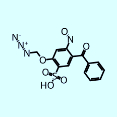 [N-]=[N+]=NCOc1cc(N=O)c(C(=O)c2ccccc2)cc1S(=O)(=O)O